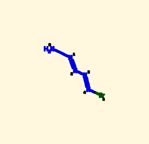 NN=NN=NBr